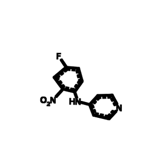 O=[N+]([O-])c1cc(F)ccc1Nc1ccncc1